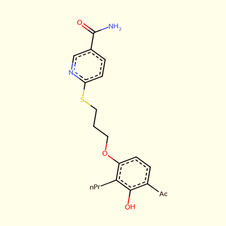 CCCc1c(OCCCSc2ccc(C(N)=O)cn2)ccc(C(C)=O)c1O